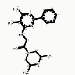 Cc1nc(-c2ccccc2)nc(NCC(=O)N2CC(C)OC(C)C2)c1C